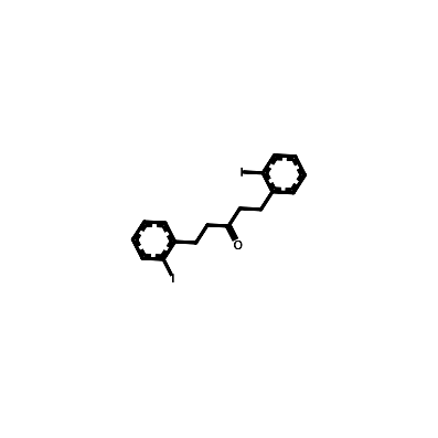 O=C(CCc1ccccc1I)CCc1ccccc1I